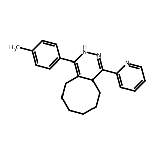 Cc1ccc(C2=C3CCCCCCC3C(c3ccccn3)=NN2)cc1